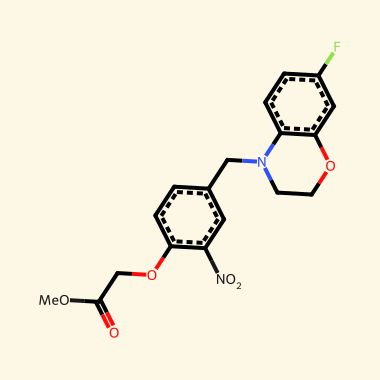 COC(=O)COc1ccc(CN2CCOc3cc(F)ccc32)cc1[N+](=O)[O-]